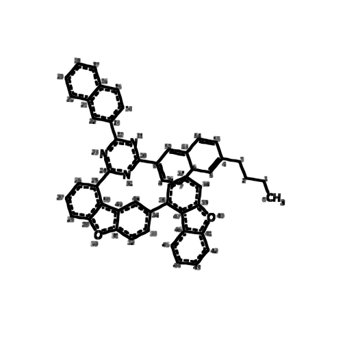 CCCCC1=CC2CC=C(c3nc(-c4ccc5ccccc5c4)nc(-c4cccc5oc6ccc(-c7cccc8oc9ccccc9c78)cc6c45)n3)C=C2C=C1